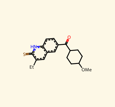 CCc1cc2cc(C(=O)C3CCC(OC)CC3)ccc2[nH]c1=S